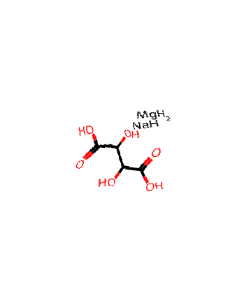 O=C(O)C(O)C(O)C(=O)O.[MgH2].[NaH]